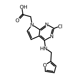 O=C(O)Cn1ccc2c(NCc3ccco3)nc(Cl)nc21